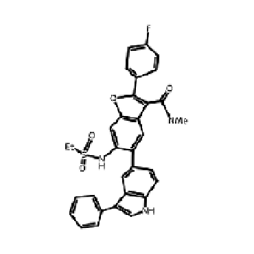 CCS(=O)(=O)Nc1cc2oc(-c3ccc(F)cc3)c(C(=O)NC)c2cc1-c1ccc2[nH]cc(-c3ccccc3)c2c1